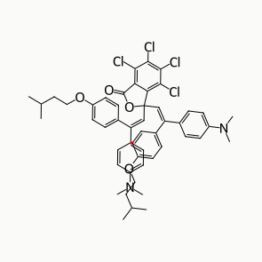 CC(C)CCOc1ccc(C(=CC2(C=C(c3ccc(OCCC(C)C)cc3)c3ccc(N(C)C)cc3)OC(=O)c3c(Cl)c(Cl)c(Cl)c(Cl)c32)c2ccc(N(C)C)cc2)cc1